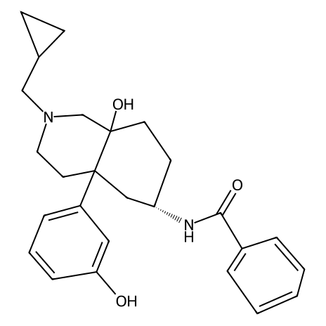 O=C(N[C@H]1CCC2(O)CN(CC3CC3)CCC2(c2cccc(O)c2)C1)c1ccccc1